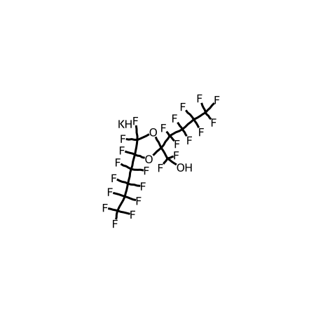 OC(F)(F)C1(C(F)(F)C(F)(F)C(F)(F)C(F)(F)F)OC(F)(F)C(F)(C(F)(F)C(F)(F)C(F)(F)C(F)(F)F)O1.[KH]